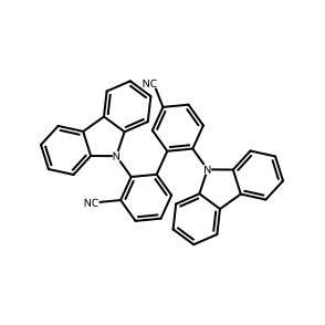 N#Cc1ccc(-n2c3ccccc3c3ccccc32)c(-c2cccc(C#N)c2-n2c3ccccc3c3ccccc32)c1